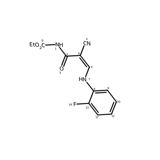 CCOC(=O)NC(=O)C(C#N)=CNc1ccccc1F